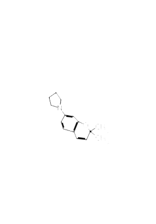 CC1(C)C=Cc2ccc(N3CCCC3)cc2O1